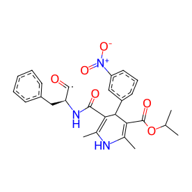 CC1=C(C(=O)N[C@H]([C]=O)Cc2ccccc2)C(c2cccc([N+](=O)[O-])c2)C(C(=O)OC(C)C)=C(C)N1